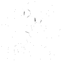 CC(C)OCCCNC(=O)CCc1cnoc1-c1ccc(F)cc1